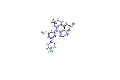 Cc1cc(Nc2ncnc3cc(Br)cc(N4CCC5(CC4)CC5)c23)nc(N2CCC(F)(F)CC2)n1